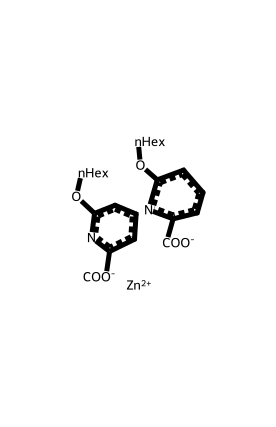 CCCCCCOc1cccc(C(=O)[O-])n1.CCCCCCOc1cccc(C(=O)[O-])n1.[Zn+2]